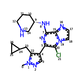 Cn1ncc(-c2nc(N[C@H]3CCCNC3)c3nccn3c2Cl)c1CC1CC1